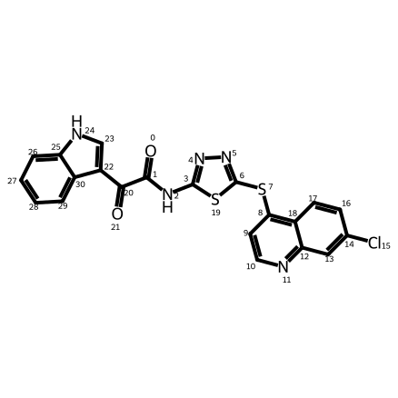 O=C(Nc1nnc(Sc2ccnc3cc(Cl)ccc23)s1)C(=O)c1c[nH]c2ccccc12